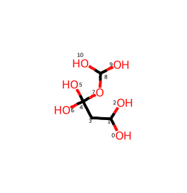 OC(O)CC(O)(O)OC(O)O